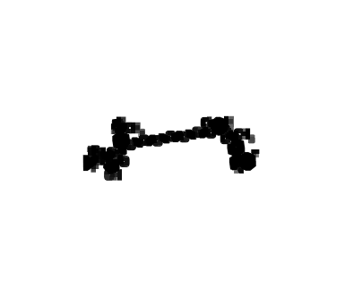 Cc1ncsc1-c1ccc(CNC(=O)[C@@H]2C[C@@H](O)CN2C(=O)[C@@H](NC(=O)C2(F)CC2)C(C)(C)C)c(OCCOCCOCCOCCOCCOCCOc2cc(NC(=O)[C@H](C)[C@H]3CC[C@@H](c4ccnc5ccc(F)cc54)CC3)ccc2Cl)c1